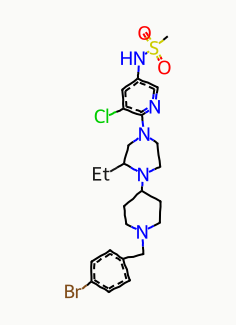 CCC1CN(c2ncc(NS(C)(=O)=O)cc2Cl)CCN1C1CCN(Cc2ccc(Br)cc2)CC1